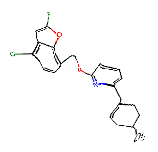 CC1CC=C(c2cccc(OCc3ccc(Cl)c4cc(F)oc34)n2)CC1